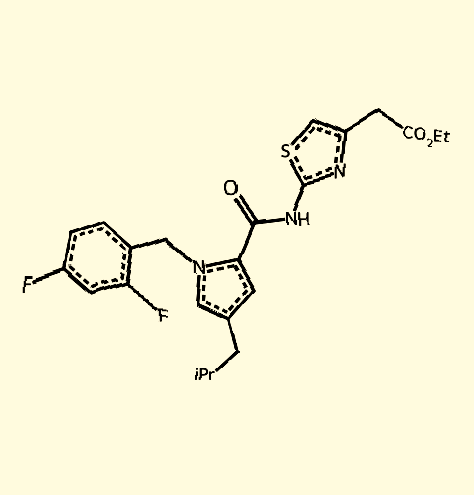 CCOC(=O)Cc1csc(NC(=O)c2cc(CC(C)C)cn2Cc2ccc(F)cc2F)n1